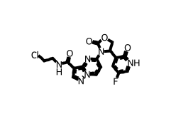 O=C(NCCCl)c1cnn2ccc(N3C(=O)OCC3c3cc(F)c[nH]c3=O)nc12